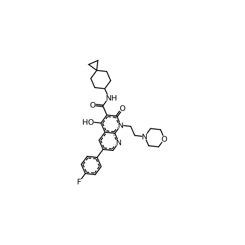 O=C(NC1CCC2(CC1)CC2)c1c(O)c2cc(-c3ccc(F)cc3)cnc2n(CCN2CCOCC2)c1=O